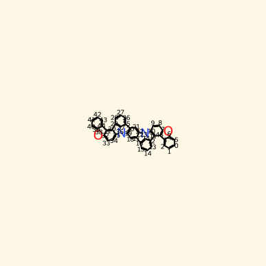 c1ccc2c(c1)oc1ccc3c(c4cccc5c6cc7c(cc6n3c54)c3cccc4c5c6c(ccc5n7c34)oc3ccccc36)c12